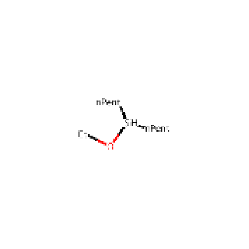 CCCCC[SiH](CCCCC)OCC